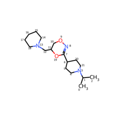 CC(C)N1CCC(C2=NOCC(CN3CCCCC3)O2)CC1